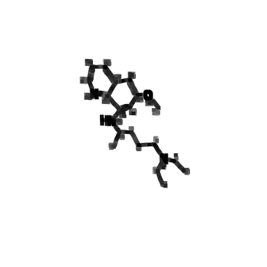 CCN(CC)CCCC(C)Nc1cc(OC)cc2cccnc12